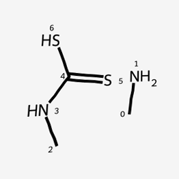 CN.CNC(=S)S